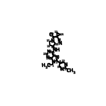 CCn1c(-c2cnc(C)nc2)nc2c(N[C@H]3CCN(C(=O)C4(C#N)CC4)C3)ncnc21